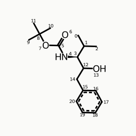 CC(C)[C@H](NC(=O)OC(C)(C)C)C(O)Cc1ccccc1